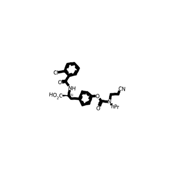 CCCN(CCC#N)C(=O)Oc1ccc(C[C@H](NC(=O)c2ccccc2Cl)C(=O)O)cc1